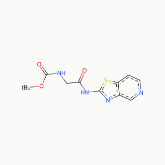 CC(C)(C)OC(=O)NCC(=O)Nc1nc2cnccc2s1